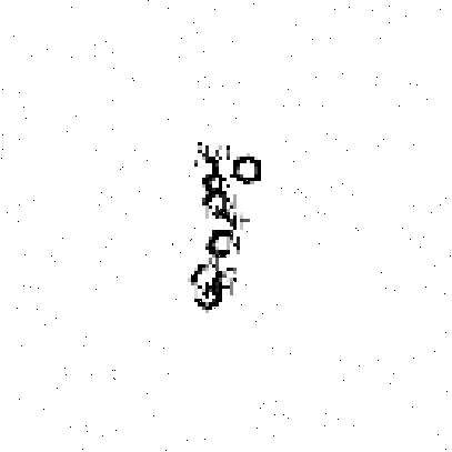 CN(C)C(=O)c1cc2cnc(Nc3ccc(N4CCN5CCC[C@@H]5C4=O)cn3)nc2n1C1CCCCC1